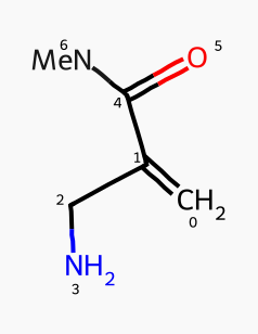 C=C(CN)C(=O)NC